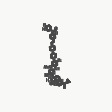 CCc1cc(Nc2ncc(Br)c(Nc3ccc4nc(NC5CC5)ccc4c3P(C)(C)=O)n2)c(OC)cc1N1CCC(N2CCN(CCc3ccc4c(c3)oc(=O)n4C3CCC(=O)NC3)CC2)CC1